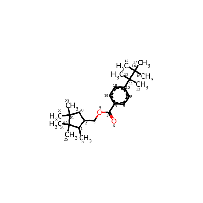 CC1C(COC(=O)c2ccc(C(C)(C)C(C)(C)C)cc2)CC(C)(C)C1(C)C